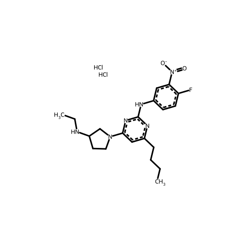 CCCCc1cc(N2CCC(NCC)C2)nc(Nc2ccc(F)c([N+](=O)[O-])c2)n1.Cl.Cl